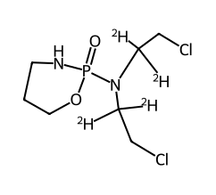 [2H]C([2H])(CCl)N(C([2H])([2H])CCl)P1(=O)NCCCO1